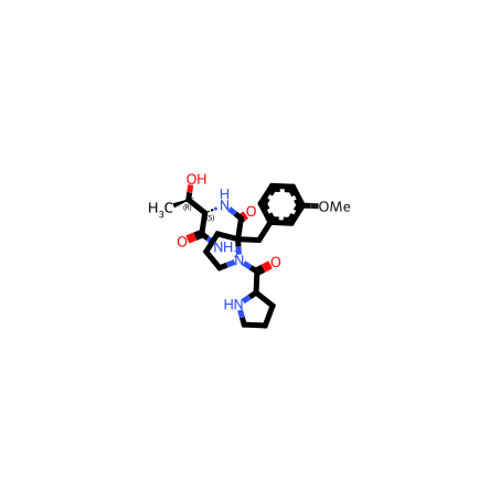 COc1cccc(CC2(C(=O)N[C@H](C(N)=O)[C@@H](C)O)CCCN2C(=O)C2CCCN2)c1